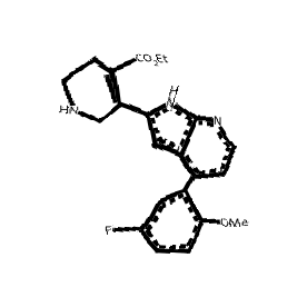 CCOC(=O)C1=C(c2cc3c(-c4cc(F)ccc4OC)ccnc3[nH]2)CNCC1